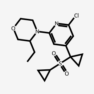 CCC1COCCN1c1cc(C2(S(=O)(=O)C3CC3)CC2)cc(Cl)n1